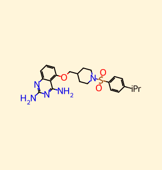 CC(C)c1ccc(S(=O)(=O)N2CCC(COc3cccc4nc(N)nc(N)c34)CC2)cc1